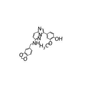 COc1cc(-c2cnc3ccc(NCc4ccc5c(c4)OCO5)nn23)ccc1O